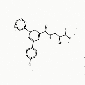 O=C(NCC(O)C(F)F)C1=CC(c2ccc(Cl)cc2)=NN(c2cccnc2)C1